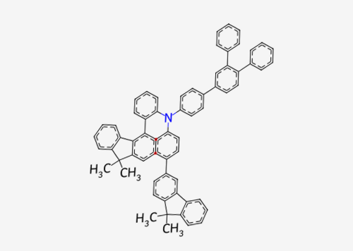 CC1(C)c2ccccc2-c2cc(-c3ccc(N(c4ccc(-c5ccc(-c6ccccc6)c(-c6ccccc6)c5)cc4)c4ccccc4-c4cccc5c4-c4ccccc4C5(C)C)cc3)ccc21